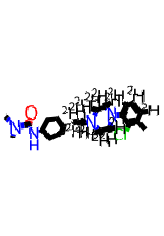 [2H]c1c([2H])c(C)c(Cl)c(N2C([2H])([2H])C([2H])([2H])N(C([2H])([2H])C([2H])([2H])[C@H]3CC[C@H](NC(=O)N(C)C)CC3)C([2H])([2H])C2([2H])[2H])c1[2H]